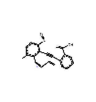 C=C/C=C\c1c(C)ccc(N=O)c1C#Cc1ccccc1C(=O)O